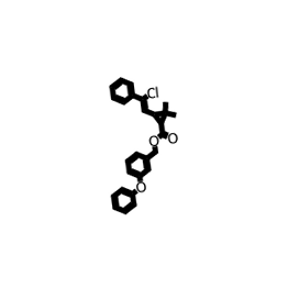 CC1(C)C(/C=C(\Cl)c2ccccc2)C1C(=O)OCc1cccc(Oc2ccccc2)c1